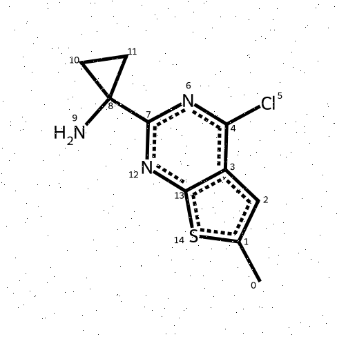 Cc1cc2c(Cl)nc(C3(N)CC3)nc2s1